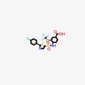 O=C(O)c1ccc(NS(=O)(=O)c2cnc(-c3ccc(F)cc3)s2)c(OC(F)(F)F)c1